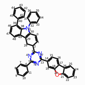 C1=CC(c2nc(-c3ccccc3)nc(-c3ccc4c(c3)oc3ccccc34)n2)Cc2c1n(-c1ccccc1)c1c(-c3ccccc3)cccc21